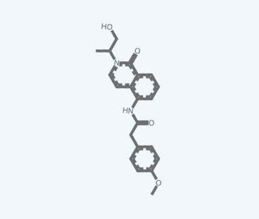 COc1ccc(CC(=O)Nc2cccc3c(=O)n(C(C)CO)ccc23)cc1